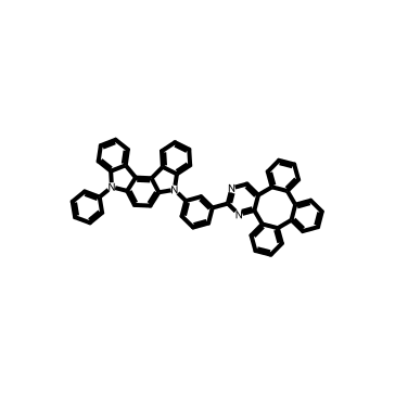 c1ccc(-n2c3ccccc3c3c4c5ccccc5n(-c5cccc(-c6ncc7c(n6)-c6ccccc6-c6ccccc6-c6ccccc6-7)c5)c4ccc32)cc1